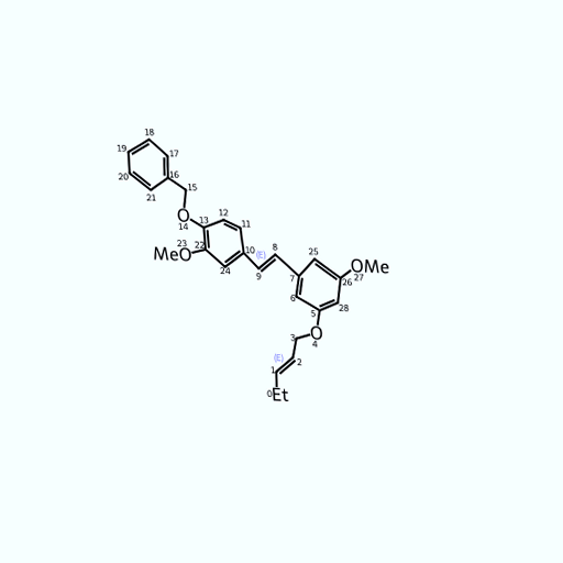 CC/C=C/COc1cc(/C=C/c2ccc(OCc3ccccc3)c(OC)c2)cc(OC)c1